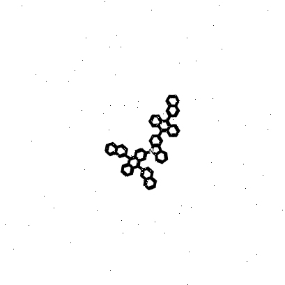 C1=CCC2C=CC(c3c4ccccc4c(C4=CC5=C(CC4)N(c4ccc6c(-c7ccc8ccccc8c7)c7ccccc7c(-c7ccc8ccccc8c7)c6c4)C4C=CC=CC54)c4ccccc34)=CC2=C1